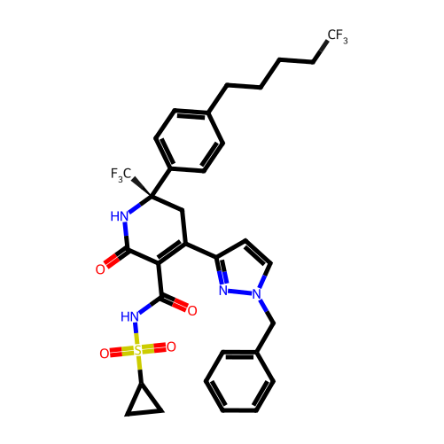 O=C1N[C@@](c2ccc(CCCCC(F)(F)F)cc2)(C(F)(F)F)CC(c2ccn(Cc3ccccc3)n2)=C1C(=O)NS(=O)(=O)C1CC1